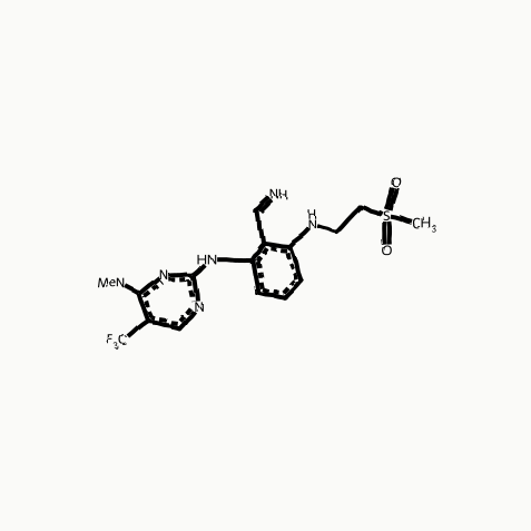 CNc1nc(Nc2cccc(NCCS(C)(=O)=O)c2C=N)ncc1C(F)(F)F